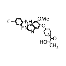 COc1cc2c(Nc3ccc(Cl)cc3F)ncnc2cc1OC1CCN(C(=O)C(C)O)CC1